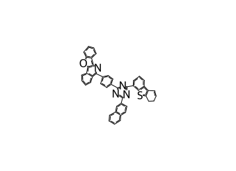 C1=Cc2c(sc3c(-c4nc(-c5ccc(-c6nc7c8ccccc8oc7c7ccccc67)cc5)nc(-c5ccc6ccccc6c5)n4)cccc23)CC1